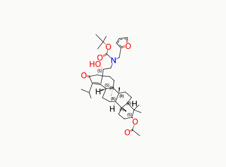 CC(=O)O[C@H]1CC[C@]2(C)[C@H]3CC[C@@H]4C5=C(C(C)C)C(=O)CC5([C@H](O)CN(Cc5ccco5)C(=O)OC(C)(C)C)CC[C@@]4(C)[C@]3(C)CC[C@H]2C1(C)C